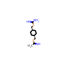 CC(=N)SC[C@H]1CC[C@@H](CSC(=N)N)CC1